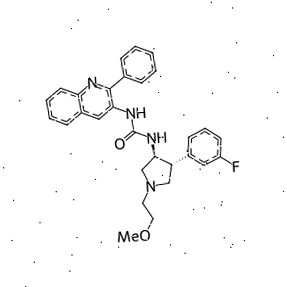 COCCN1C[C@@H](NC(=O)Nc2cc3ccccc3nc2-c2ccccc2)[C@H](c2cccc(F)c2)C1